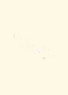 Cc1ccc(S(=O)(=O)On2ccc3c2C=CS3(=O)=O)cc1